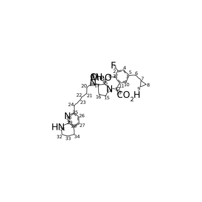 COc1c(F)cc(CC2CC2)cc1[C@@H](C(=O)O)N1CC[C@@H](N(C)CCCCCc2ccc3c(n2)NCCC3)C1